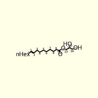 CCCCCC/C=C/CCCCCCCC(=O)OC[C@@H](O)CO